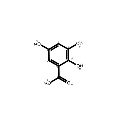 O=C(O)c1cc(O)cc(O)c1O